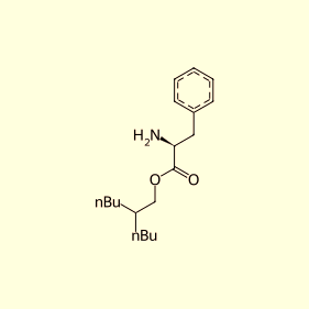 CCCCC(CCCC)COC(=O)[C@@H](N)Cc1ccccc1